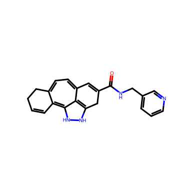 O=C(NCc1cccnc1)C1=CC2=CC=C3CCC=CC3=C3NNC(=C23)C1